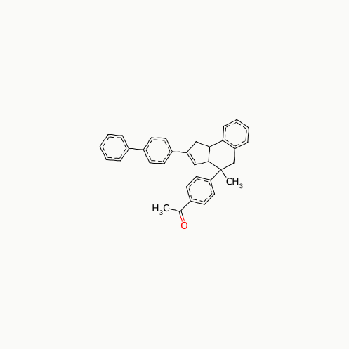 CC(=O)c1ccc(C2(C)Cc3ccccc3C3CC(c4ccc(-c5ccccc5)cc4)=CC32)cc1